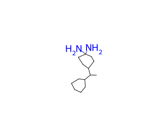 CC(C1CCCCC1)C1CCC(N)(N)CC1